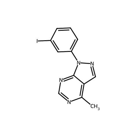 Cc1ncnc2c1cnn2-c1cccc(I)c1